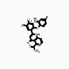 Cc1cc(F)ccc1Oc1cc(C(F)(F)F)c(Cl)cc1-c1cc(=O)c2c(C(N)=O)nccc2[nH]1